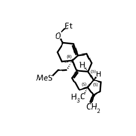 C=C1CC[C@H]2[C@@H]3CCC4=CC(OCC)CC[C@]4(CCSC)C3=CC[C@]12C